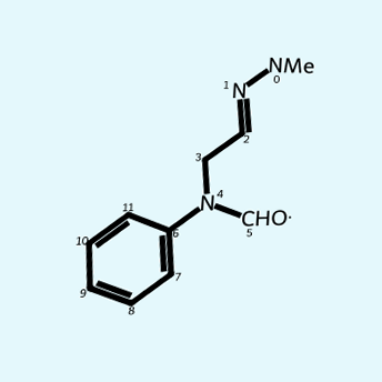 CNN=CCN([C]=O)c1ccccc1